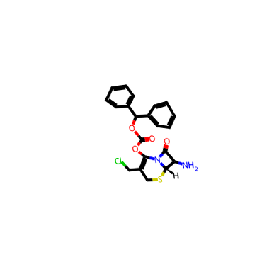 NC1C(=O)N2C(OC(=O)OC(c3ccccc3)c3ccccc3)=C(CCl)CS[C@@H]12